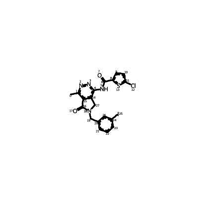 Cc1nnc(NC(=O)c2ccc(Cl)s2)c2c1C(=O)N(Cc1cccc(I)c1)C2